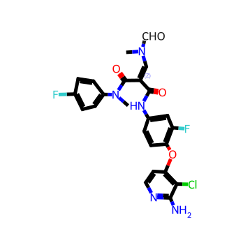 CN(C=O)/C=C(/C(=O)Nc1ccc(Oc2ccnc(N)c2Cl)c(F)c1)C(=O)N(C)c1ccc(F)cc1